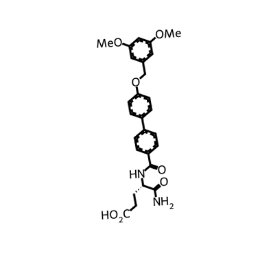 COc1cc(COc2ccc(-c3ccc(C(=O)N[C@@H](CCC(=O)O)C(N)=O)cc3)cc2)cc(OC)c1